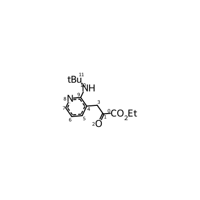 CCOC(=O)C(=O)Cc1cccnc1NC(C)(C)C